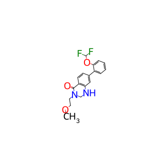 COCCN1CNc2cc(-c3ccccc3OC(F)F)ccc2C1=O